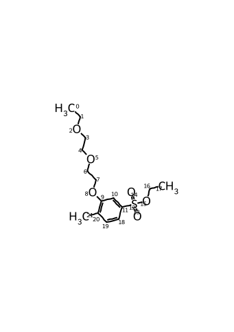 CCOCCOCCOc1cc(S(=O)(=O)OCC)ccc1C